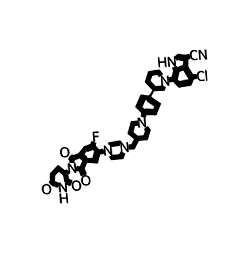 N#Cc1c[nH]c2c(N3CCC[C@H](c4ccc(N5CCC(CN6CCN(c7cc8c(cc7F)C(=O)N(C7CCC(=O)NC7=O)C8=O)CC6)CC5)cc4)C3)ccc(Cl)c12